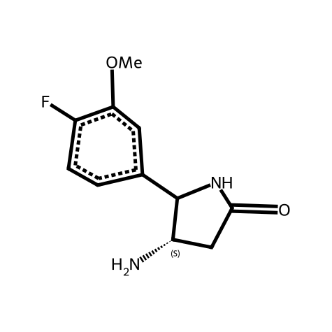 COc1cc(C2NC(=O)C[C@@H]2N)ccc1F